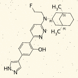 C[C@]12CCC[C@](C)(C[C@@H](N(CCF)c3ccc(-c4ccc(-c5cn[nH]c5)cc4O)nn3)C1)C2